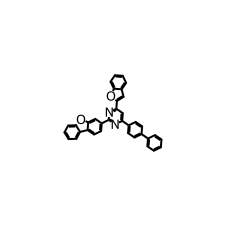 c1ccc(-c2ccc(-c3cc(-c4cc5ccccc5o4)nc(-c4ccc5c(c4)oc4ccccc45)n3)cc2)cc1